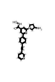 NC1CCN(c2cc(C(=O)NO)cc(-c3ccc(C#Cc4cccnc4)cc3)n2)C1